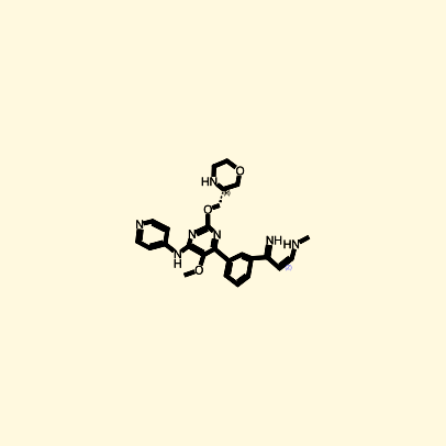 CN/C=C\C(=N)c1cccc(-c2nc(OC[C@H]3COCCN3)nc(Nc3ccncc3)c2OC)c1